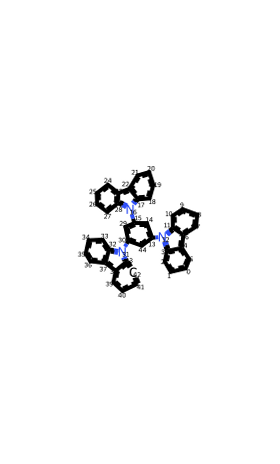 c1ccc2c(c1)c1ccccc1n2-c1cc(-n2c3ccccc3c3ccccc32)cc(-n2c3ccccc3c3ccccc32)c1